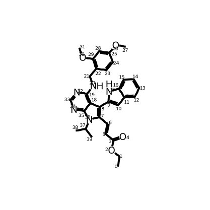 CCOC(=O)/C=C/c1c(-c2cc3ccccc3[nH]2)c2c(NCc3ccc(OC)cc3OC)ncnc2n1C(C)C